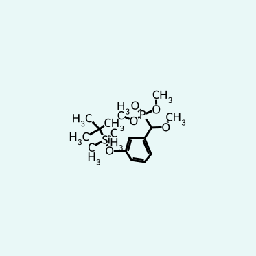 COC(c1cccc(O[Si](C)(C)C(C)(C)C)c1)P(=O)(OC)OC